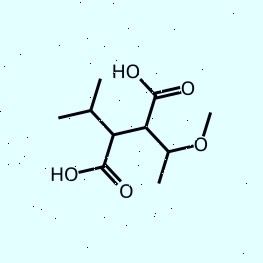 COC(C)C(C(=O)O)C(C(=O)O)C(C)C